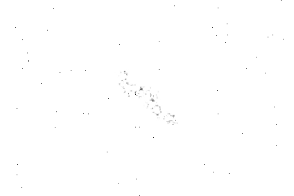 Cc1cc2sc3cc(C)c(N4C=CN(CN5C=CN(c6cc7c(cc6C)sc6cc(C)ncc67)[C@H]5C)[C@H]4C)cc3c2cn1